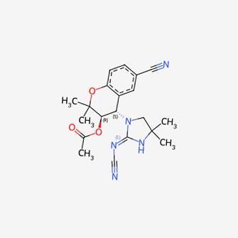 CC(=O)O[C@@H]1[C@@H](N2CC(C)(C)N/C2=N\C#N)c2cc(C#N)ccc2OC1(C)C